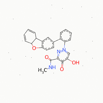 CNC(=O)c1nn(-c2ccccc2-c2ccc3c(c2)C2C=CC=CC2O3)cc(O)c1=O